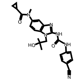 CN(C(=O)C1CC1)c1ccc2c(c1)nc(NC(=O)Nc1ccc(C#N)cc1)n2CC(C)(C)O